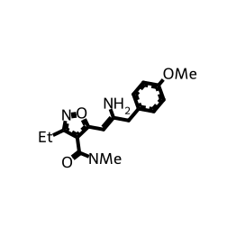 CCc1noc(/C=C(\N)Cc2ccc(OC)cc2)c1C(=O)NC